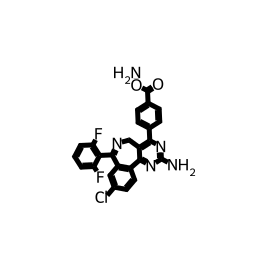 NOC(=O)c1ccc(-c2nc(N)nc3c2CN=C(c2c(F)cccc2F)c2cc(Cl)ccc2-3)cc1